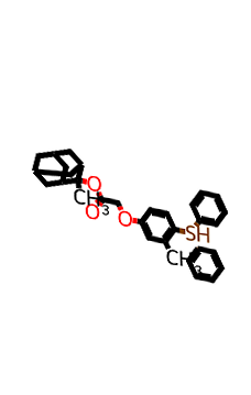 Cc1cc(OCC(=O)OC2(C)C3CC4CC(C3)CC2C4)ccc1[SH](c1ccccc1)c1ccccc1